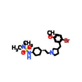 COc1ccc(Br)c(CC2CCN(CC[C@H]3CC[C@@H](NS(=O)(=O)N(C)C)CC3)C2)c1